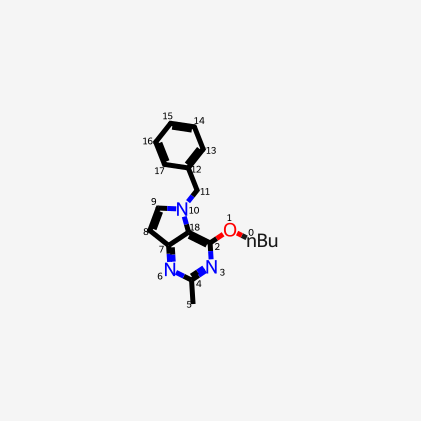 CCCCOc1nc(C)nc2ccn(Cc3ccccc3)c12